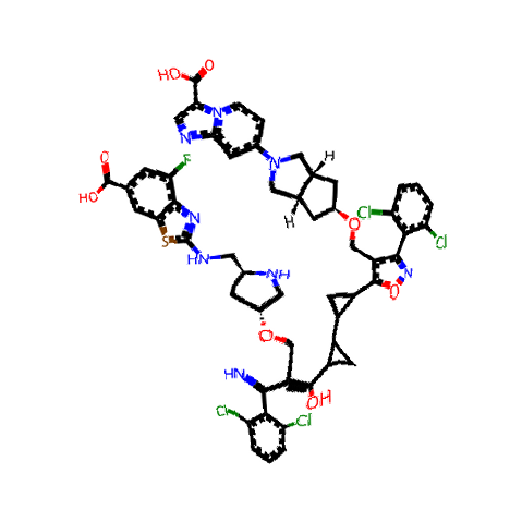 N=C(/C(CO[C@H]1CN[C@H](CNc2nc3c(F)cc(C(=O)O)cc3s2)C1)=C(\O)C1CC1C1CC1c1onc(-c2c(Cl)cccc2Cl)c1CO[C@H]1C[C@@H]2CN(c3ccn4c(C(=O)O)cnc4c3)C[C@@H]2C1)c1c(Cl)cccc1Cl